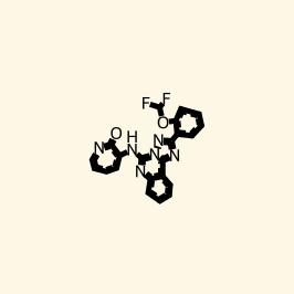 O=c1nccccc1Nc1nc2ccccc2c2nc(-c3ccccc3OC(F)F)nn12